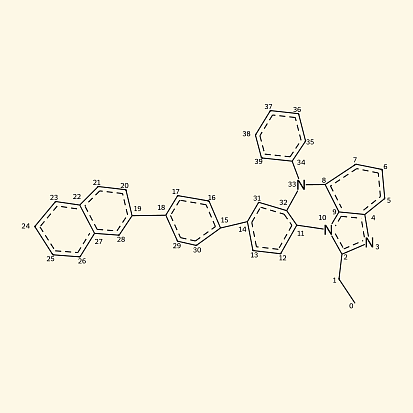 CCc1nc2cccc3c2n1-c1ccc(-c2ccc(-c4ccc5ccccc5c4)cc2)cc1N3c1ccccc1